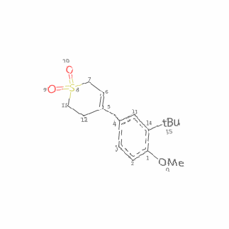 COc1ccc(C2=CCS(=O)(=O)CC2)cc1C(C)(C)C